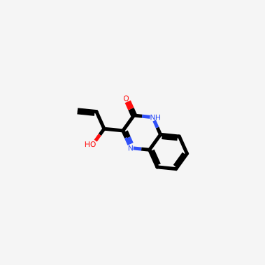 C=CC(O)c1nc2ccccc2[nH]c1=O